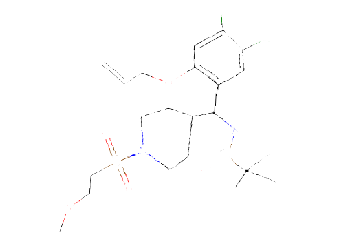 C=CCOc1cc(Cl)c(Cl)cc1C(N[S@@+]([O-])C(C)(C)C)C1CCN(S(=O)(=O)CCOC)CC1